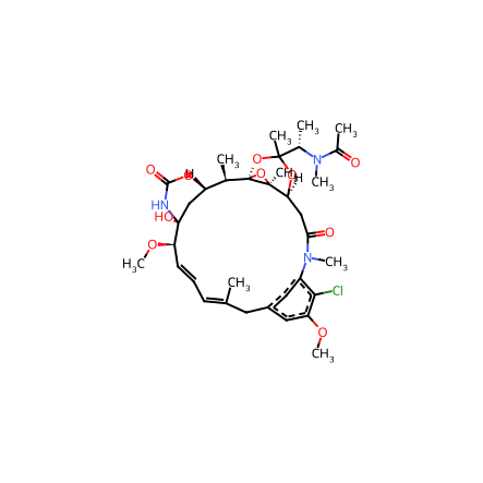 COc1cc2cc(c1Cl)N(C)C(=O)C[C@@H]1OC(C)([C@H](C)N(C)C(C)=O)O[C@@]3(O[C@@]13C)[C@H](C)[C@@H]1C[C@@](O)(NC(=O)O1)[C@H](OC)/C=C/C=C(\C)C2